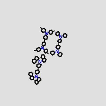 Cc1ccc(N(c2ccc(C)cc2)c2ccc(-c3ccc(N(c4ccc(C)cc4)c4ccc(C)cc4)cc3)cc2)cc1.c1ccc(N(c2ccccc2)c2ccc(-c3ccc(N(c4ccccc4)c4ccccc4)cc3)cc2)cc1.c1ccc2c(N(c3ccc(-c4ccc(N(c5cccc6ccccc56)c5cccc6ccccc56)cc4)cc3)c3cccc4ccccc34)cccc2c1